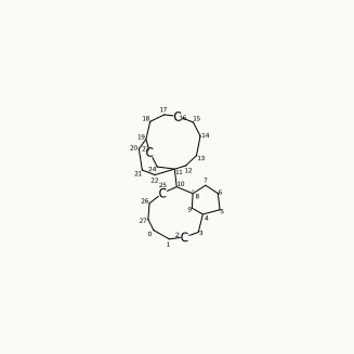 C1CCCC2CCC[C](C2)C(C23CCCCCCCC(CCC2)CC3)CCC1